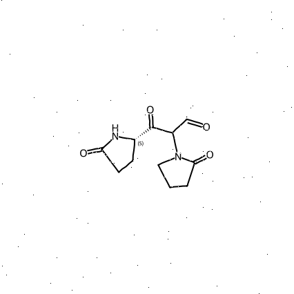 O=[C]C(C(=O)[C@@H]1CCC(=O)N1)N1CCCC1=O